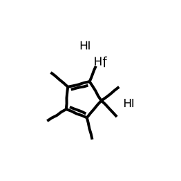 CC1=C(C)C(C)(C)[C]([Hf])=C1C.I.I